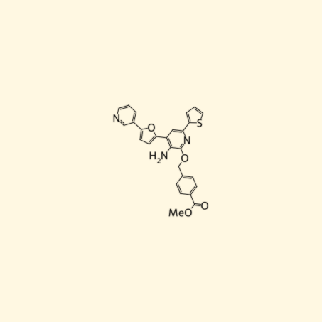 COC(=O)c1ccc(COc2nc(-c3cccs3)cc(-c3ccc(-c4cccnc4)o3)c2N)cc1